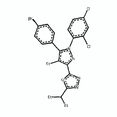 CCc1c(-c2nnc(C(CC)CC)o2)nn(-c2ccc(Cl)cc2Cl)c1-c1ccc(Br)cc1